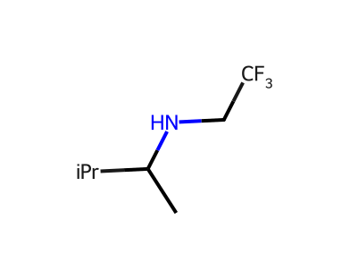 CC(C)C(C)NCC(F)(F)F